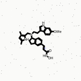 COc1ccc2c(CCN(Cc3[nH]c(C)cc3C)C3CCc4cc(/C=C/C(=O)NO)ccc43)c[nH]c2c1